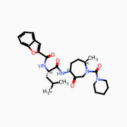 CC(C)C[C@H](NC(=O)c1cc2ccccc2o1)C(=O)N[C@H]1CC[C@@H](C)N(C(=O)N2CCCCC2)CC1=O